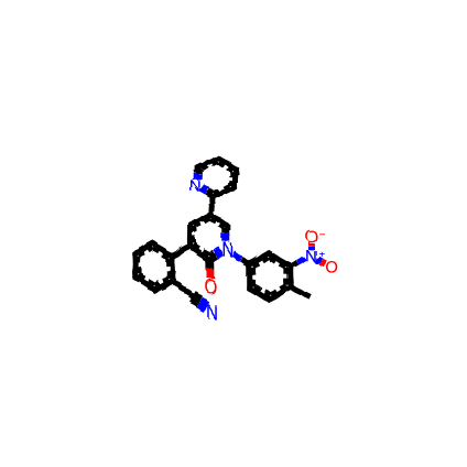 Cc1ccc(-n2cc(-c3ccccn3)cc(-c3ccccc3C#N)c2=O)cc1[N+](=O)[O-]